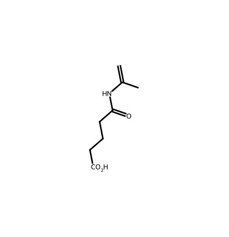 C=C(C)NC(=O)CCCC(=O)O